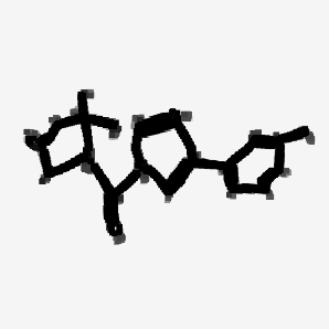 Cc1cccc(-c2cn(C(=O)N3COCC3(C)C)cn2)c1